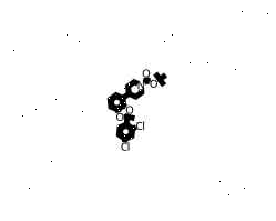 CC(C)(C)OC(=O)N1CCC(c2cccc3c2OC(C)(c2ccc(Cl)cc2Cl)O3)CC1